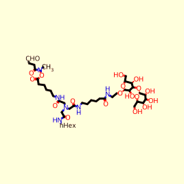 CCCCCCNC(=O)CN(CC(=O)NCCCCCC(=O)NCCO[C@H]1OC(CO)[C@@H](O)C(O[C@H]2OC(CO)[C@@H](O)C(O)C2O)C1O)CC(=O)NCCCCCC(=O)ON(C)C(=O)CCC=O